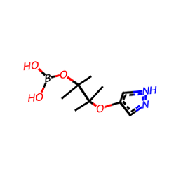 CC(C)(OB(O)O)C(C)(C)Oc1cn[nH]c1